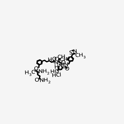 Cc1ncsc1-c1ccc(CNC(=O)[C@@H]2C[C@@H](O)CN2C(=O)[C@@H](NC(=O)CCCCc2cccc(CO[C@H](C)[C@@H](N)CCC(N)=O)c2)C(C)(C)C)cc1.Cl